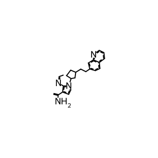 C=C(N)c1ccn(C2CCC(CCc3ccc4cccnc4c3)C2)c1/N=C\C